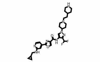 O=C(Nc1cn(C2CCN(CCC3CCNCC3)CC2)nc1C(F)F)c1coc(-c2ccnc(NCC3CC3)c2)n1